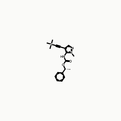 C[C@@H](OC(=O)Nc1c(C#C[Si](C)(C)C)cnn1C)c1ccccc1